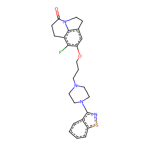 O=C1CCc2c(F)c(OCCCN3CCN(c4nsc5ccccc45)CC3)cc3c2N1CC3